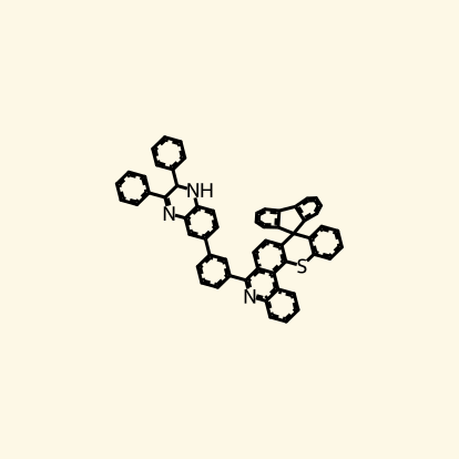 c1ccc(C2=Nc3cc(-c4cccc(-c5nc6ccccc6c6c7c(ccc56)C5(c6ccccc6S7)c6ccccc6-c6ccccc65)c4)ccc3NC2c2ccccc2)cc1